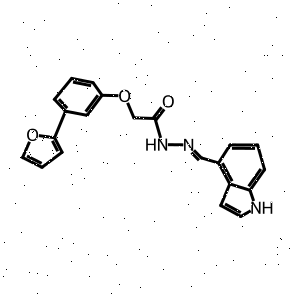 O=C(COc1cccc(-c2ccco2)c1)NN=Cc1cccc2[nH]ccc12